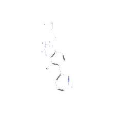 Fc1n[c]ccc1-c1ccc2c(nnn2CC2CC2)c1C(F)(F)F